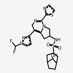 O=S(=O)(NC1CC2=C(c3ccn(C(F)F)n3)CN=C(c3nccs3)N2C1)C1CC2CCC(C1)C2O